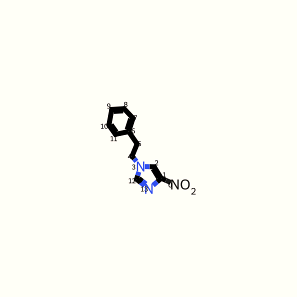 O=[N+]([O-])c1cn(CCc2ccccc2)cn1